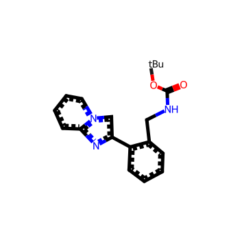 CC(C)(C)OC(=O)NCc1ccccc1-c1cn2ccccc2n1